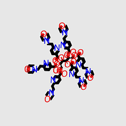 O=C(OC[C@H](OC(=O)c1ccc(CCN2CCOCC2)nc1)[C@H](OC(=O)c1ccc(CCN2CCOCC2)nc1)[C@H](OC(=O)c1ccc(CCN2CCOCC2)nc1)[C@@H](COC(=O)c1ccc(CCN2CCOCC2)nc1)OC(=O)c1ccc(CCN2CCOCC2)nc1)c1ccc(CCN2CCOCC2)nc1